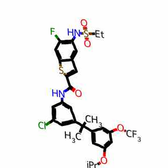 CCS(=O)(=O)Nc1cc2cc(C(=O)Nc3cc(Cl)cc(C(C)(C)c4cc(OC(C)C)cc(OC(F)(F)F)c4)c3)sc2cc1F